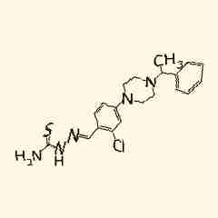 CC(c1ccccc1)N1CCN(c2ccc(/C=N/NC(N)=S)c(Cl)c2)CC1